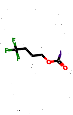 O=C(I)OCCCC(F)(F)F